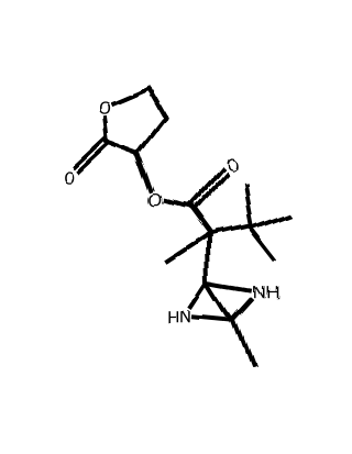 CC(C)(C)C(C)(C(=O)OC1CCOC1=O)C12NC1(C)N2